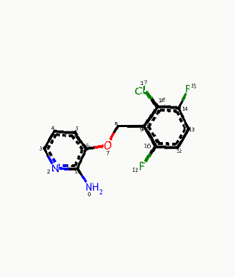 Nc1ncccc1OCc1c(F)ccc(F)c1Cl